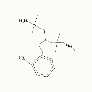 CC(C)(N)CC(Cc1ccccc1O)C(C)(C)N